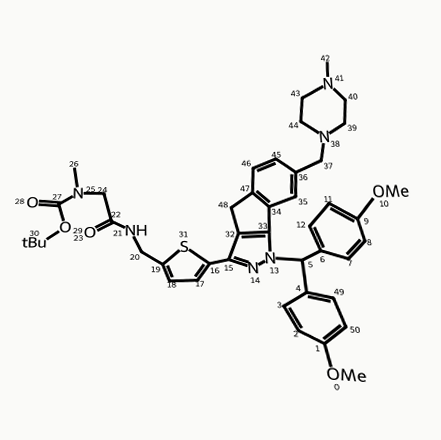 COc1ccc(C(c2ccc(OC)cc2)n2nc(-c3ccc(CNC(=O)CN(C)C(=O)OC(C)(C)C)s3)c3c2-c2cc(CN4CCN(C)CC4)ccc2C3)cc1